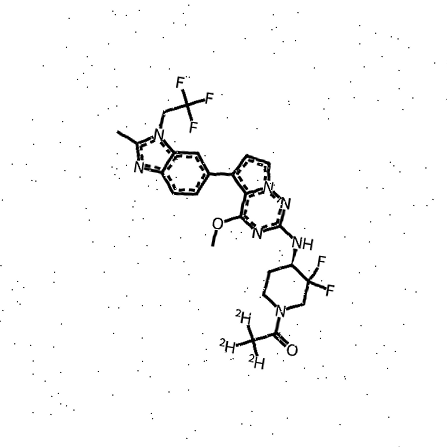 [2H]C([2H])([2H])C(=O)N1CC[C@@H](Nc2nc(OC)c3c(-c4ccc5nc(C)n(CC(F)(F)F)c5c4)ccn3n2)C(F)(F)C1